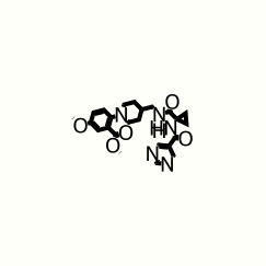 COC(=O)c1cc(OC)ccc1N1CCC(CNC(=O)C2(NC(=O)c3cncnc3)CC2)CC1